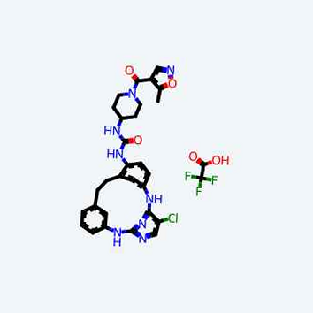 Cc1oncc1C(=O)N1CCC(NC(=O)Nc2ccc3cc2CCc2cccc(c2)Nc2ncc(Cl)c(n2)N3)CC1.O=C(O)C(F)(F)F